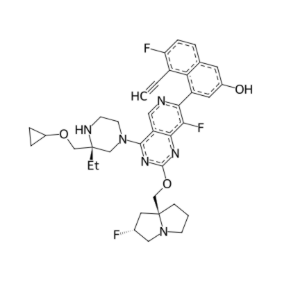 C#Cc1c(F)ccc2cc(O)cc(-c3ncc4c(N5CCN[C@@](CC)(COC6CC6)C5)nc(OC[C@@]56CCCN5C[C@H](F)C6)nc4c3F)c12